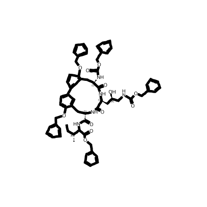 CC[C@@H](C)C(NC(=O)[C@@H]1Cc2cc(ccc2OCc2ccccc2)-c2ccc(OCc3ccccc3)c(c2)C[C@H](NC(=O)OCc2ccccc2)C(=O)N[C@@H](C[C@@H](O)CNC(=O)OCc2ccccc2)C(=O)N1)C(=O)OCc1ccccc1